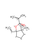 C=CC1(OC(=O)C(=C)C)CCCC1(C)C